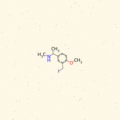 CNC(C)c1ccc(OC)c(CI)c1